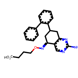 Nc1ncc2c(n1)CC(c1ccccc1-c1ccccc1)CC2=NOCCCC(=O)O